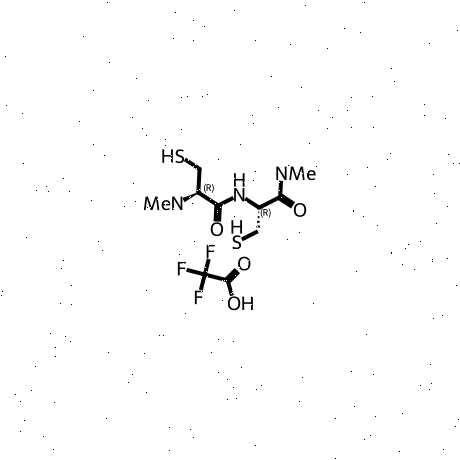 CNC(=O)[C@H](CS)NC(=O)[C@H](CS)NC.O=C(O)C(F)(F)F